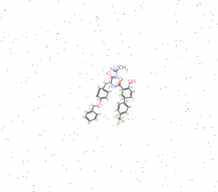 Cc1noc([C@H](Cc2ccc(OCc3ccccc3)cc2)NC(=O)c2cc(-c3ccc(C(F)(F)F)cc3)ccc2O)n1